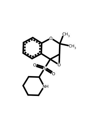 CC1(C)Oc2ccccc2C2(S(=O)(=O)C3CCCCN3)OC12